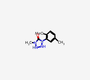 COc1ccc(C)cc1N1NNN(C)C1=O